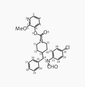 COc1ncccc1OC(=O)N1CCC([C@@H](c2ccccc2)N(C=O)c2ccc(Cl)cc2)CC1